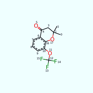 CC1(C)CC(=O)c2cccc(OC(F)(F)F)c2O1